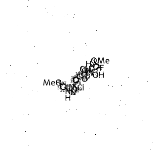 COc1cc(F)cc(C(CO)NC(=O)C(C)N2Cc3ccc(-c4nc(N[C@H]5CC[C@H](OC)CC5)ncc4Cl)cc3C2=O)c1